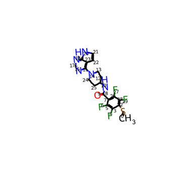 CSc1c(F)c(F)c(C(=O)NC2CCN(c3ncnc4[nH]ccc34)CC2)c(F)c1F